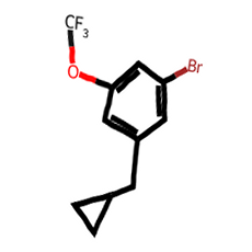 FC(F)(F)Oc1cc(Br)cc(CC2CC2)c1